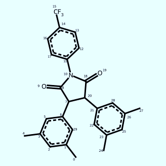 Cc1cc(C)cc(C2C(=O)N(c3ccc(C(F)(F)F)cc3)C(=O)C2c2cc(C)cc(C)c2)c1